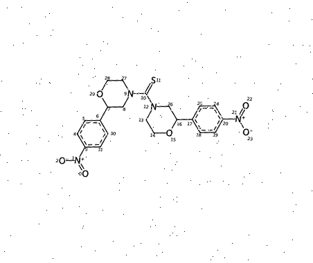 O=[N+]([O-])c1ccc(C2CN(C(=S)N3CCOC(c4ccc([N+](=O)[O-])cc4)C3)CCO2)cc1